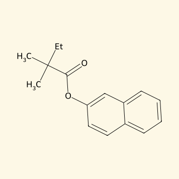 CCC(C)(C)C(=O)Oc1ccc2ccccc2c1